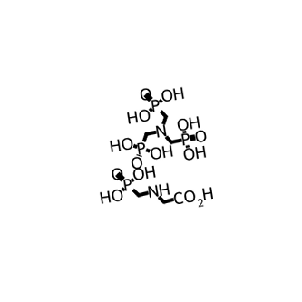 O=C(O)CNCP(=O)(O)O.O=P(O)(O)CN(CP(=O)(O)O)CP(=O)(O)O